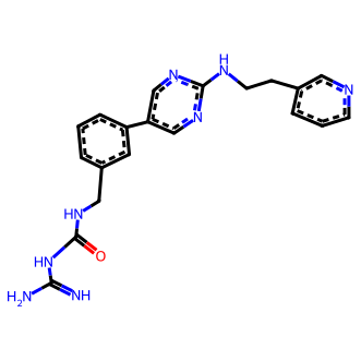 N=C(N)NC(=O)NCc1cccc(-c2cnc(NCCc3cccnc3)nc2)c1